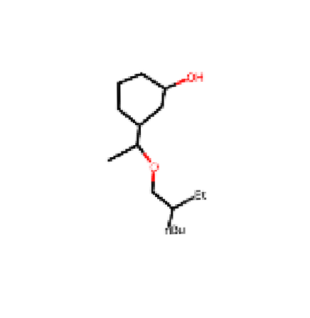 CCCCC(CC)COC(C)C1CCCC(O)C1